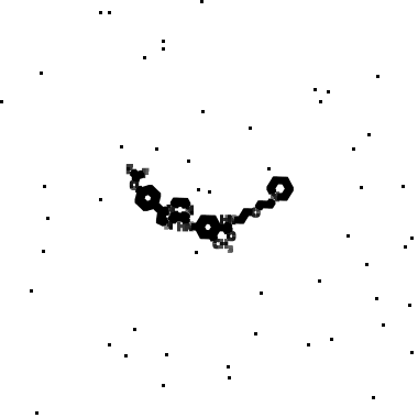 Cc1cc(Nc2nccn3c(-c4ccc(OC(F)F)cc4)cnc23)ccc1C(=O)NCCOCCN1CCCCC1